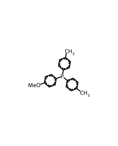 COc1ccc(P(c2ccc(C)cc2)c2ccc(C)cc2)cc1